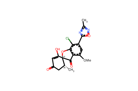 COc1cc(-c2nc(C)no2)c(Cl)c2c1C(=O)[C@@]1(O2)C(O)=CC(=O)C[C@H]1C